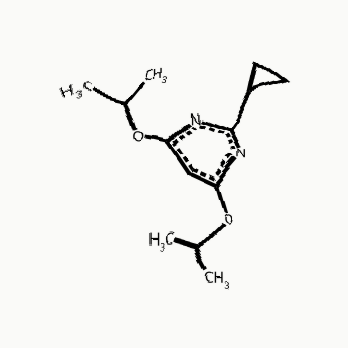 CC(C)Oc1cc(OC(C)C)nc(C2CC2)n1